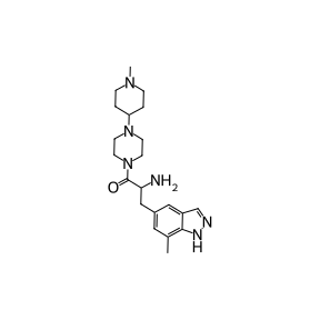 Cc1cc(CC(N)C(=O)N2CCN(C3CCN(C)CC3)CC2)cc2cn[nH]c12